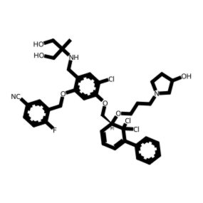 CC(CO)(CO)NCc1cc(Cl)c(OC[C@]2(OCCCN3CCC(O)C3)C=CC=C(c3ccccc3)C2(Cl)Cl)cc1OCc1cc(C#N)ccc1F